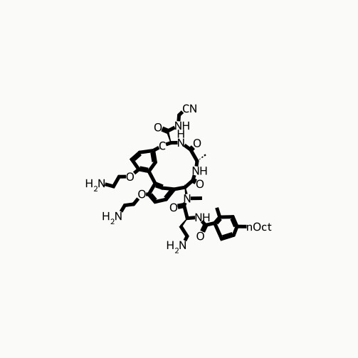 CCCCCCCCc1ccc(C(=O)N[C@@H](CCN)C(=O)N(C)[C@@H]2C(=O)N[C@@H](C)C(=O)N[C@H](C(=O)NCC#N)Cc3ccc(OCCN)c(c3)-c3cc2ccc3OCCN)c(C)c1